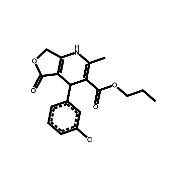 CCCOC(=O)C1=C(C)NC2=C(C(=O)OC2)C1c1cccc(Cl)c1